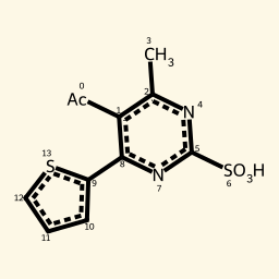 CC(=O)c1c(C)nc(S(=O)(=O)O)nc1-c1cccs1